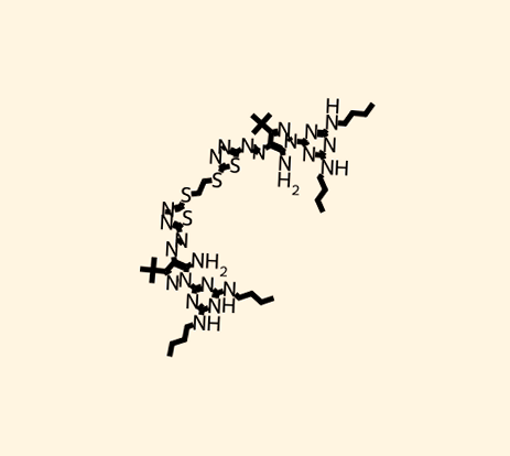 CCCCNc1nc(NCCCC)nc(-n2nc(C(C)(C)C)c(N=Nc3nnc(SCCSc4nnc(N=Nc5c(C(C)(C)C)nn(-c6nc(NCCCC)nc(NCCCC)n6)c5N)s4)s3)c2N)n1